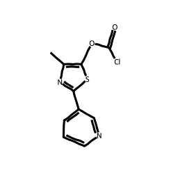 Cc1nc(-c2cccnc2)sc1OC(=O)Cl